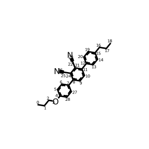 CCCOc1ccc(-c2ccc(-c3ccc(CCC)cc3)c(C#N)c2C#N)cc1